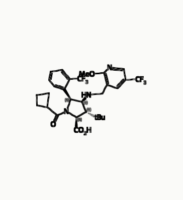 COc1ncc(C(F)(F)F)cc1CN[C@H]1[C@H](C(C)(C)C)[C@@H](C(=O)O)N(C(=O)C2CCC2)[C@H]1c1ccccc1C(F)(F)F